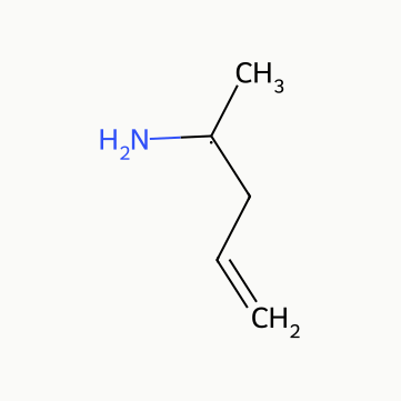 C=CC[C](C)N